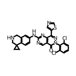 O=c1c2cnc(Nc3ccc4c(c3)CNCC43CC3)nc2c(-c2cncs2)nn1-c1c(Cl)cccc1Cl